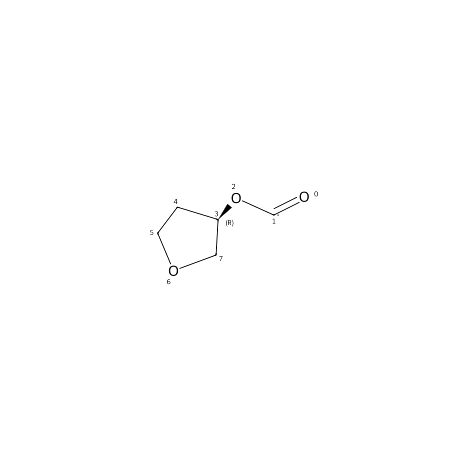 O=[C]O[C@@H]1CCOC1